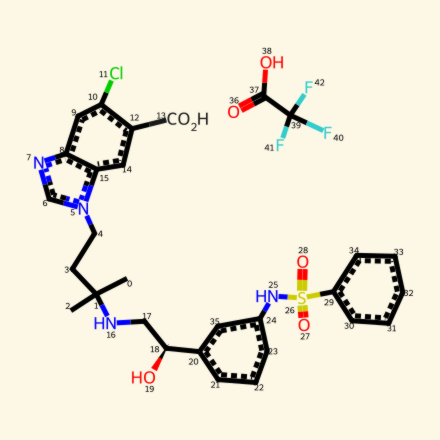 CC(C)(CCn1cnc2cc(Cl)c(C(=O)O)cc21)NC[C@H](O)c1cccc(NS(=O)(=O)c2ccccc2)c1.O=C(O)C(F)(F)F